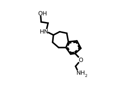 NCOc1ccc2c(c1)CCC(NCCO)CC2